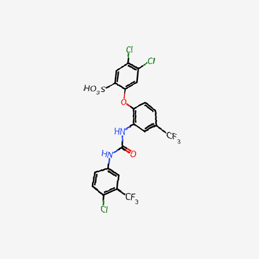 O=C(Nc1ccc(Cl)c(C(F)(F)F)c1)Nc1cc(C(F)(F)F)ccc1Oc1cc(Cl)c(Cl)cc1S(=O)(=O)O